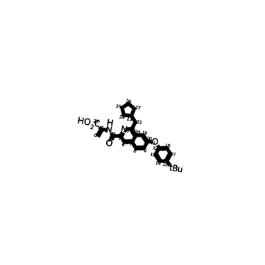 C=C(NC(=O)c1cc2ccc(Oc3ccc(C(C)(C)C)cc3)cc2c(CC2CCCC2)n1)C(=O)O